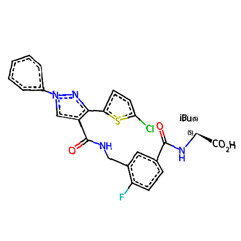 CC[C@H](C)[C@H](NC(=O)c1ccc(F)c(CNC(=O)c2cn(-c3ccccc3)nc2-c2ccc(Cl)s2)c1)C(=O)O